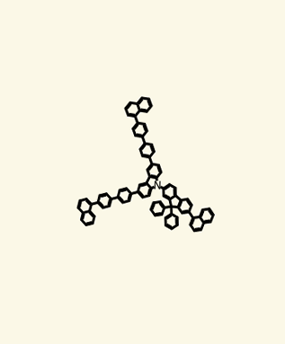 c1ccc(C2(c3ccccc3)c3cc(-c4cccc5ccccc45)ccc3-c3ccc(-n4c5ccc(-c6ccc(-c7ccc(-c8cccc9ccccc89)cc7)cc6)cc5c5cc(-c6ccc(-c7ccc(-c8cccc9ccccc89)cc7)cc6)ccc54)cc32)cc1